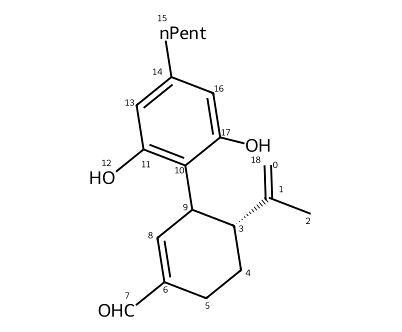 C=C(C)[C@@H]1CCC(C=O)=CC1c1c(O)cc(CCCCC)cc1O